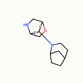 C1CC2CC1CCN2C1CC2COC(CN2)C1